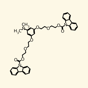 CN(C)c1cc(OCCOCCOC(=O)n2c3ccccc3c3ccccc32)cc(OCCOCCOC(=O)n2c3ccccc3c3ccccc32)c1